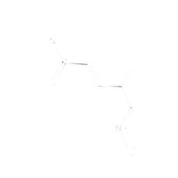 CC(C=CC(N)=O)CNC(C)C